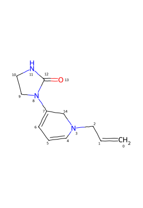 C=CCN1C=CC=C(N2CCNC2=O)C1